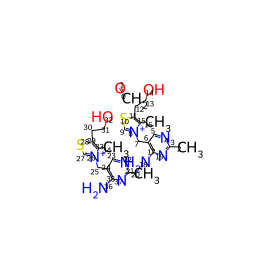 C=O.Cc1ncc(C[n+]2csc(CCO)c2C)c(N)n1.Cc1ncc(C[n+]2csc(CCO)c2C)c(N)n1